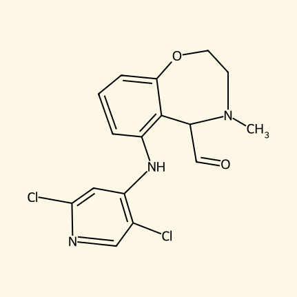 CN1CCOc2cccc(Nc3cc(Cl)ncc3Cl)c2C1C=O